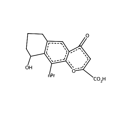 CCCc1c2c(cc3c(=O)cc(C(=O)O)oc13)CCCC2O